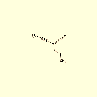 CC#CC(=C=O)CCC